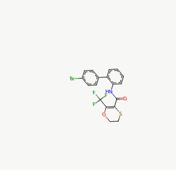 O=C(Nc1ccccc1-c1ccc(Br)cc1)C1=C(C(F)(F)F)OCCS1